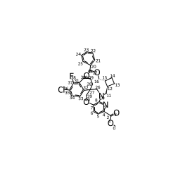 COC(=O)c1ccc2c(n1)N(C[C@@H]1CC[C@H]1COC(=O)c1ccccc1)CC1(CCCc3c1ccc(Cl)c3F)CO2